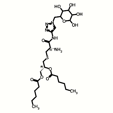 CCCCCC(=O)OC[C@H](CSC[C@@H](N)C(=O)Nc1cn(CC2OC(O)C(O)C(O)C2O)nn1)OC(=O)CCCCC